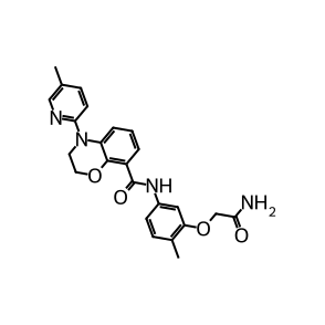 Cc1ccc(N2CCOc3c(C(=O)Nc4ccc(C)c(OCC(N)=O)c4)cccc32)nc1